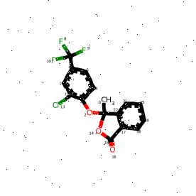 CC1(Oc2ccc(C(F)(F)F)cc2Cl)OC(=O)c2ccccc21